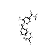 CN(C)C(=O)c1ccc(Nc2ccc3c(c2)CCC(=O)N3)c(N)c1